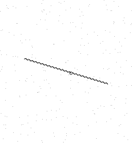 CCCCCCCCCCCCCCCCCCCCCCCCCCCCOCCCCCCCCCCCCCCCCCCCCCC